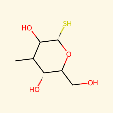 CC1C(O)[C@H](S)OC(CO)[C@@H]1O